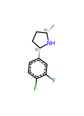 C[C@H]1CC[C@@H](c2ccc(F)c(F)c2)N1